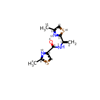 C=C(NC(=O)c1csc(C)n1)c1nc(C)cs1